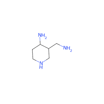 NCC1CNCCC1N